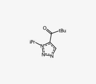 CC(C)n1nncc1C(=O)C(C)(C)C